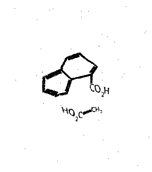 CC(=O)O.O=C(O)c1cccc2ccccc12